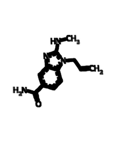 C=CCn1c(NC)nc2cc(C(N)=O)ccc21